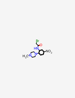 CN1CCN(c2ccc([N+](=O)[O-])cc2NC(=O)CBr)CC1